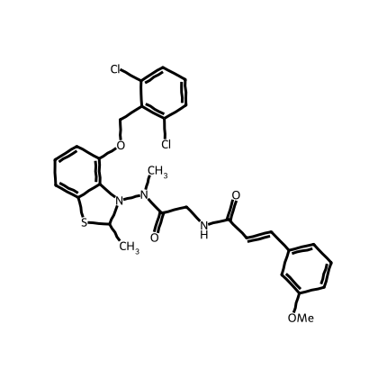 COc1cccc(C=CC(=O)NCC(=O)N(C)N2c3c(OCc4c(Cl)cccc4Cl)cccc3SC2C)c1